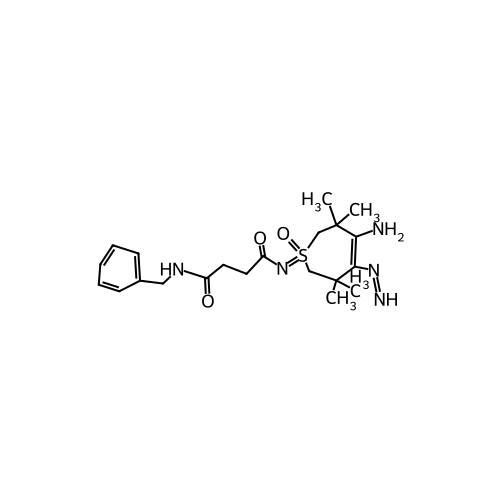 CC1(C)CS(=O)(=NC(=O)CCC(=O)NCc2ccccc2)CC(C)(C)C(N=N)=C1N